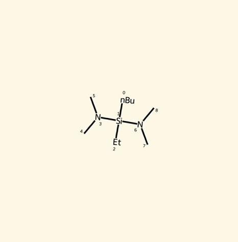 CCCC[Si](CC)(N(C)C)N(C)C